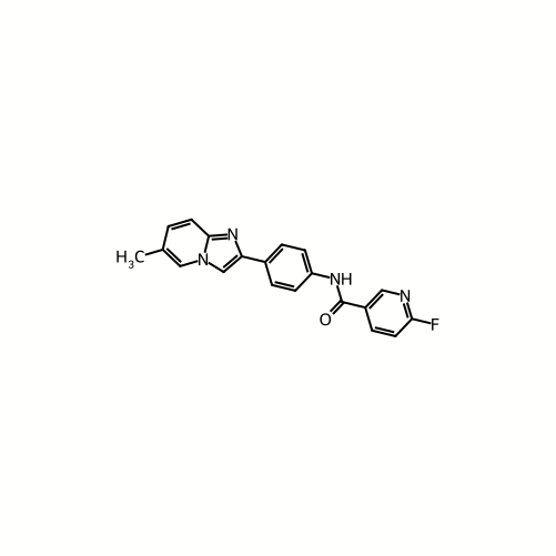 Cc1ccc2nc(-c3ccc(NC(=O)c4ccc(F)nc4)cc3)cn2c1